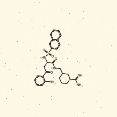 N=C(N)N1CCCC(CNC(=O)[C@@H](CC(=O)c2ccccc2N)NS(=O)(=O)c2ccc3ccccc3c2)C1